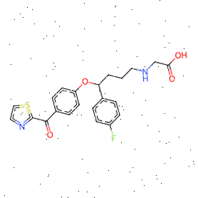 O=C(O)CNCCCC(Oc1ccc(C(=O)c2nccs2)cc1)c1ccc(F)cc1